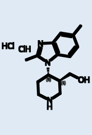 Cc1ccc2c(c1)nc(C)n2[C@H]1CCNC[C@@H]1CO.Cl.Cl